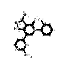 Nc1nccc(-c2cn(-c3ccccc3Cl)c(=O)c3c2NNC3N)n1